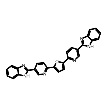 c1ccc2[nH]c(-c3ccc(-c4ccc(-c5ccc(-c6nc7ccccc7[nH]6)cn5)o4)nc3)nc2c1